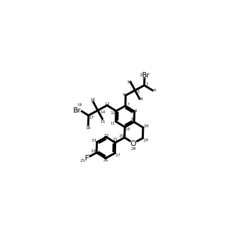 CC(Br)C(C)(C)Cc1cc2c(cc1CC(C)(C)C(C)Br)C(c1ccc(F)cc1)OCC2